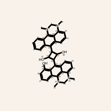 CN1CN(C)c2c3ccccc3c(C3C(O)C(c4c5cccc6c5c(c5cccc(O)c45)N(C)CN6C)C3O)c3cccc1c23